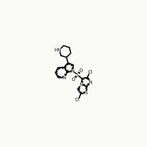 O=S(=O)(c1c(Cl)nc2sc(Cl)cn12)n1cc(C2CCCNC2)c2cccnc21